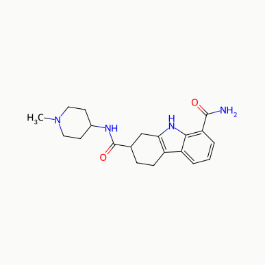 CN1CCC(NC(=O)C2CCc3c([nH]c4c(C(N)=O)cccc34)C2)CC1